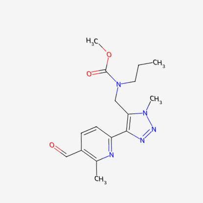 CCCN(Cc1c(-c2ccc(C=O)c(C)n2)nnn1C)C(=O)OC